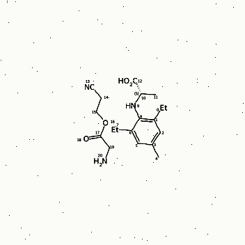 CCc1cc(C)cc(CC)c1N[C@@H](C)C(=O)O.N#CCCOC(=O)CN